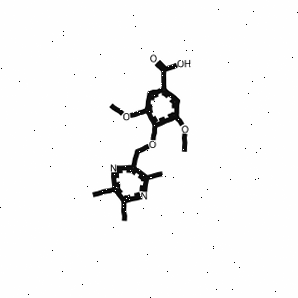 COc1cc(C(=O)O)cc(OC)c1OCc1nc(C)c(C)nc1C